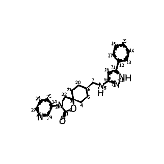 O=C1O[C@]2(CC[C@H](CNc3cc(-c4ccccc4)[nH]n3)CC2)CN1c1cccnc1